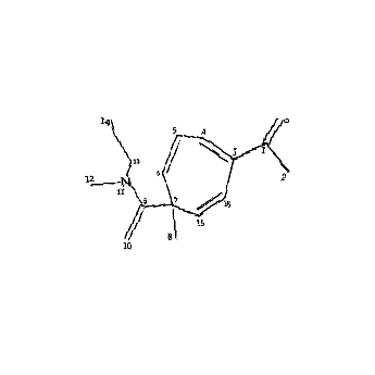 C=C(C)C1=CC=CC(C)(C(=C)N(C)CC)C=C1